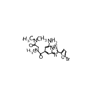 CN(C)C(=O)CN(C)C(=O)c1cc(N)n2nc(-c3ccc(Br)o3)nc2c1